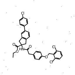 CCOC(=O)C1(NC(=O)Cc2ccc(OCc3c(Cl)cccc3Cl)cc2)Cc2ccc(-c3ccc(Cl)cc3)cc2C1